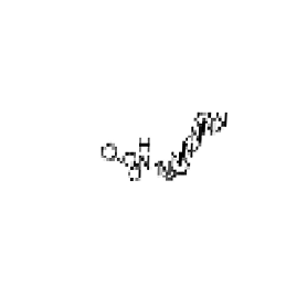 O=C(NCCn1ccc2ccc(N3CCN(c4cccc5nccn45)CC3)nc21)OCc1ccccc1